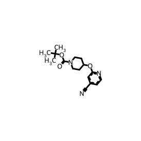 CC(C)(C)OC(=O)N1CCC(Oc2cc(C#N)ccn2)CC1